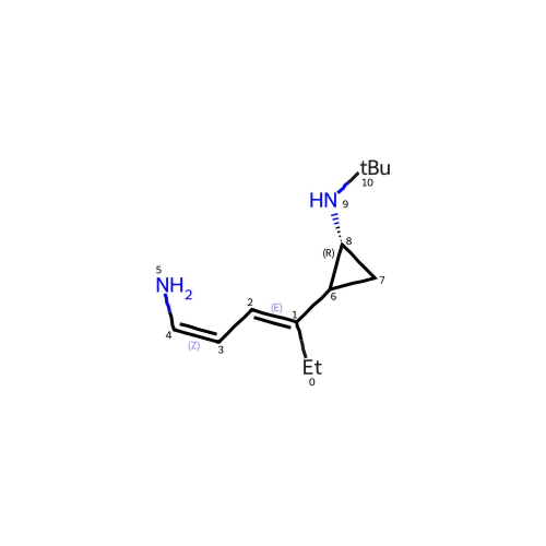 CC/C(=C\C=C/N)C1C[C@H]1NC(C)(C)C